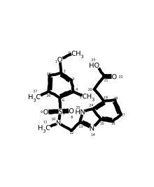 COc1cc(C)c(S(=O)(=O)N(C)Cc2nc3cccc(CC(=O)O)c3[nH]2)c(C)c1